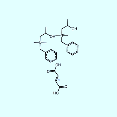 CC(O)C[N+](C)(C)Cc1ccccc1.CC(O)C[N+](C)(C)Cc1ccccc1.O=C(O)/C=C/C(=O)O